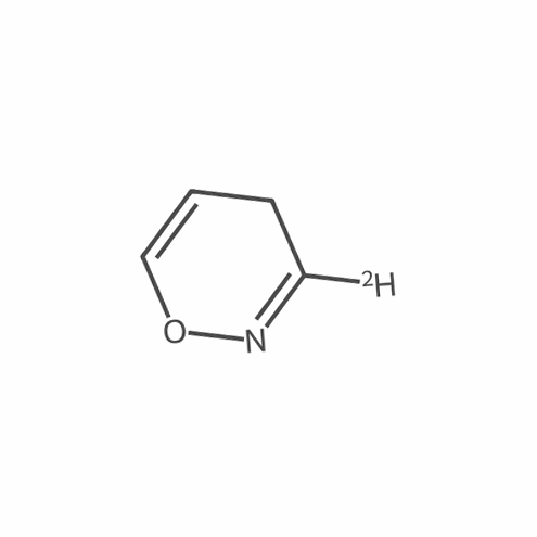 [2H]C1=NOC=CC1